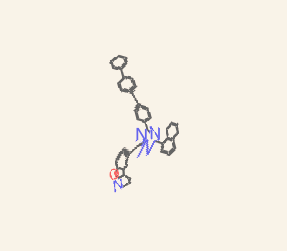 c1ccc(-c2ccc(-c3ccc(-c4nc(-c5ccc6oc7ncccc7c6c5)nc(-c5cccc6ccccc56)n4)cc3)cc2)cc1